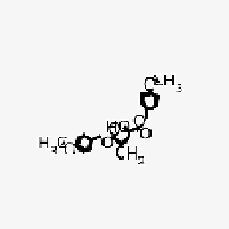 C=C(CC(O)C(=O)OCc1ccc(OC)cc1)C(=O)OCc1ccc(OC)cc1